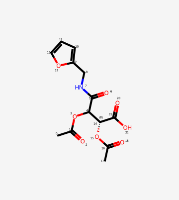 CC(=O)OC(C(=O)NCc1ccco1)[C@@H](OC(C)=O)C(=O)O